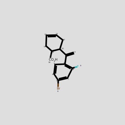 C=C(c1ccc(Br)cc1F)C1CC=CCC1C(=O)O